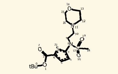 CC(C)(C)OC(=O)c1ccc(N(CCN2CCOCC2)S(C)(=O)=O)s1